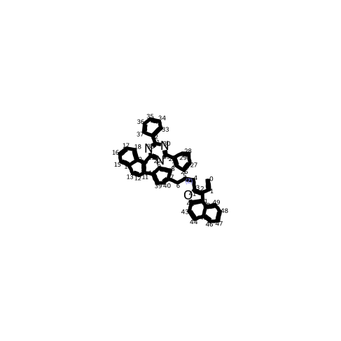 C=Cc1c(/C=C\Cc2ccc(-c3ccc4ccccc4c3-c3nc(-c4ccccc4)nc(-c4ccccc4)n3)cc2)oc2ccc3ccccc3c12